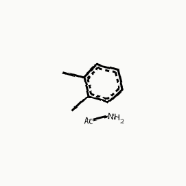 CC(N)=O.Cc1ccccc1C